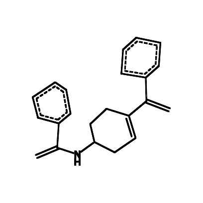 C=C(NC1CC=C(C(=C)c2ccccc2)CC1)c1ccccc1